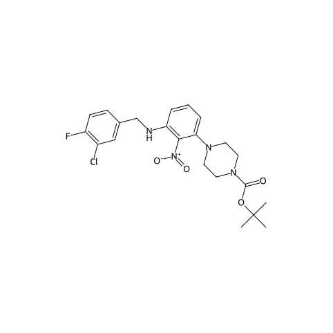 CC(C)(C)OC(=O)N1CCN(c2cccc(NCc3ccc(F)c(Cl)c3)c2[N+](=O)[O-])CC1